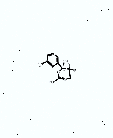 C[C@]1(c2cccc(N)c2)OC(N)=NCC1(F)F